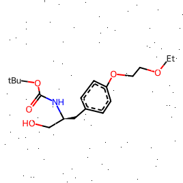 CCOCCOc1ccc(C[C@@H](CO)NC(=O)OC(C)(C)C)cc1